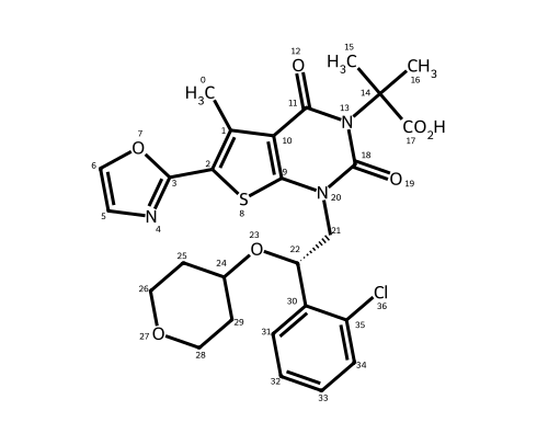 Cc1c(-c2ncco2)sc2c1c(=O)n(C(C)(C)C(=O)O)c(=O)n2C[C@@H](OC1CCOCC1)c1ccccc1Cl